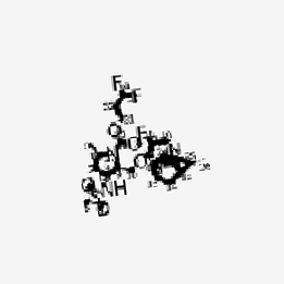 C[C@@H]1C[C@H](NS(C)(=O)=O)[C@H](CO[C@H]2CC[C@]3(c4ncc(F)cn4)C(C2)[C@@H]3C)N1C(=O)OCCC(F)F